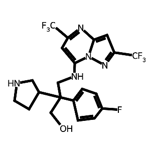 OCC(CNc1cc(C(F)(F)F)nc2cc(C(F)(F)F)nn12)(c1ccc(F)cc1)C1CCNC1